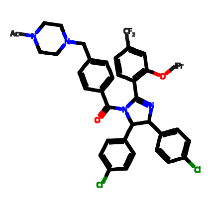 CC(=O)N1CCN(Cc2ccc(C(=O)N3C(c4ccc(C(F)(F)F)cc4OC(C)C)=NC(c4ccc(Cl)cc4)C3c3ccc(Cl)cc3)cc2)CC1